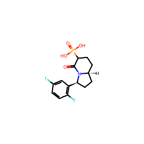 O=C1C(P(=O)(O)O)CC[C@H]2CC[C@@H](c3cc(F)ccc3F)N12